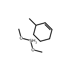 CC1C=CCCC1.CO[SiH2]OC